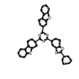 c1ccc(-c2nc3cc(-c4nc(-c5ccc6c(c5)oc5ccccc56)nc(-c5ccc6c(c5)sc5ccccc56)n4)ccc3o2)cc1